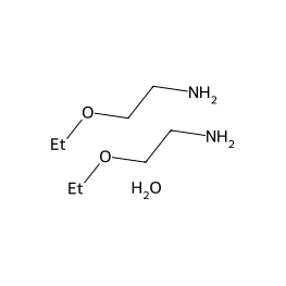 CCOCCN.CCOCCN.O